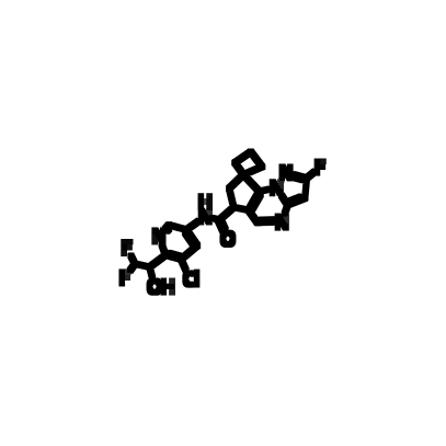 O=C(Nc1cnc(C(O)C(F)F)c(Cl)c1)C1CC2(CCC2)c2c1cnc1cc(F)nn21